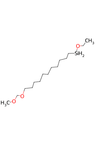 CCO[SiH2]CCCCCCCCCCCOCOC